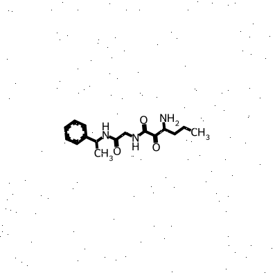 CCCC(N)C(=O)C(=O)NCC(=O)NC(C)c1ccccc1